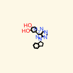 Nc1ncnc2c1c(-c1ccc(O)c(O)c1)nn2C1CCc2ccccc21